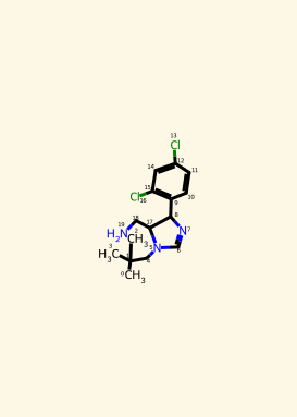 CC(C)(C)CN1C=NC(c2ccc(Cl)cc2Cl)C1CN